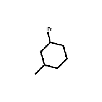 CC1[CH]C(C(C)C)CCC1